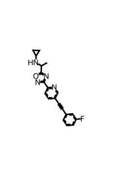 CC(NC1CC1)c1nc(-c2ccc(C#Cc3cccc(F)c3)cn2)no1